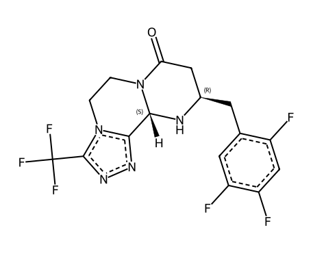 O=C1C[C@@H](Cc2cc(F)c(F)cc2F)N[C@@H]2c3nnc(C(F)(F)F)n3CCN12